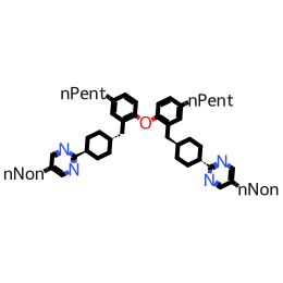 CCCCCCCCCc1cnc([C@H]2CC[C@H](Cc3cc(CCCCC)ccc3Oc3ccc(CCCCC)cc3C[C@H]3CC[C@H](c4ncc(CCCCCCCCC)cn4)CC3)CC2)nc1